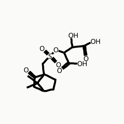 CC1(C)C2CCC1(CS(=O)(=O)OC(C(=O)O)C(O)C(=O)O)C(=O)C2